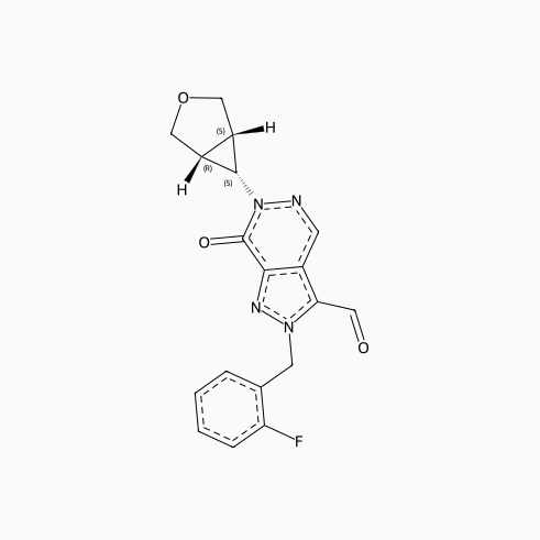 O=Cc1c2cnn([C@@H]3[C@@H]4COC[C@@H]43)c(=O)c2nn1Cc1ccccc1F